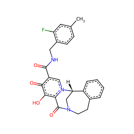 Cc1ccc(CNC(=O)c2cn3c(c(O)c2=O)C(=O)N2CCc4ccccc4[C@@H]3C2)c(F)c1